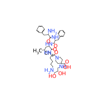 CC(C)CC(NC(=O)C(Cc1ccccc1)NC(=O)C(N)Cc1ccccc1)C(=O)NC(CCCCN)C(=O)N1CCC(NCC(O)CO)(C(=O)O)CC1